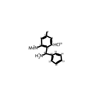 CNc1cc(C)ccc1C(N)c1ccccc1.Cl